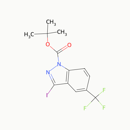 CC(C)(C)OC(=O)n1nc(I)c2cc(C(F)(F)F)ccc21